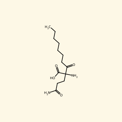 CCCCCCCC(=O)C(N)(CCC(N)=O)C(=O)O